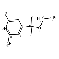 Cc1cc(C(C)(C)O[SiH2]C(C)(C)C)cc(C#N)n1